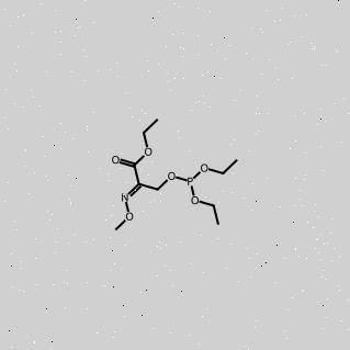 CCOC(=O)/C(COP(OCC)OCC)=N/OC